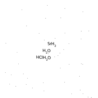 Cl.O.O.[SrH2]